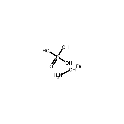 NO.O=P(O)(O)O.[Fe]